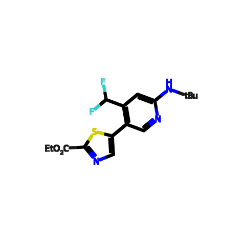 CCOC(=O)c1ncc(-c2cnc(NC(C)(C)C)cc2C(F)F)s1